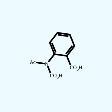 CC(=O)N(C(=O)O)c1ccccc1C(=O)O